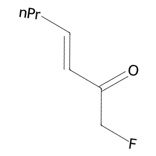 CCCC=CC(=O)CF